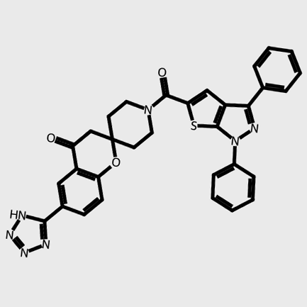 O=C1CC2(CCN(C(=O)c3cc4c(-c5ccccc5)nn(-c5ccccc5)c4s3)CC2)Oc2ccc(-c3nnn[nH]3)cc21